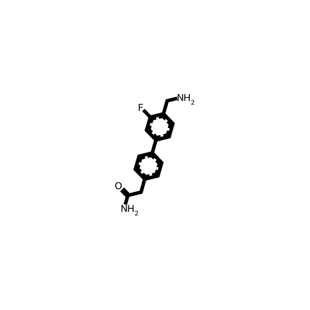 NCc1ccc(-c2ccc(CC(N)=O)cc2)cc1F